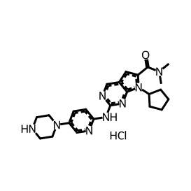 CN(C)C(=O)c1cc2cnc(Nc3ccc(N4CCNCC4)cn3)nc2n1C1CCCC1.Cl